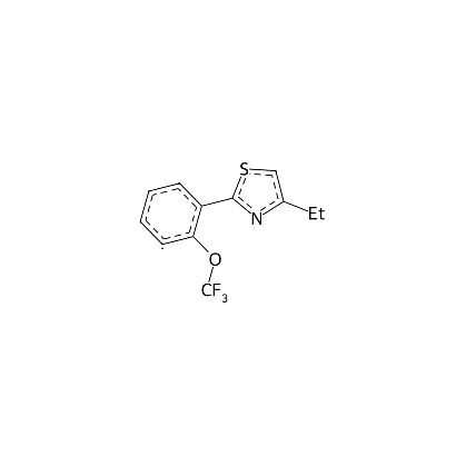 CCc1csc(-c2ccc[c]c2OC(F)(F)F)n1